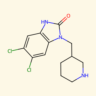 O=c1[nH]c2cc(Cl)c(Cl)cc2n1CC1CCCNC1